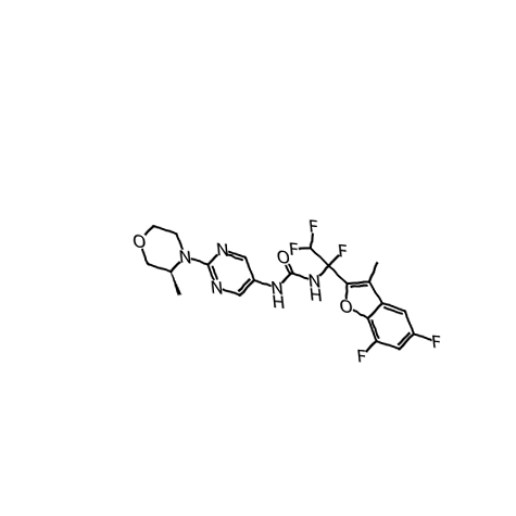 Cc1c(C(F)(NC(=O)Nc2cnc(N3CCOC[C@@H]3C)nc2)C(F)F)oc2c(F)cc(F)cc12